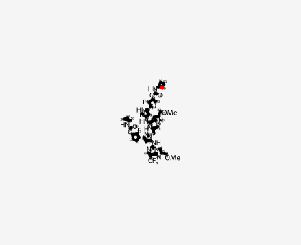 COCc1cn2c(Nc3cc([C@@H]4CC[C@H](OC(=O)NC5(C)CC5)[C@@H]4F)[nH][n+]3Cc3cn4nc(COC)cc4c(Nc4cc([C@H]5OC[C@@H](OC(=O)NC67CC(C6)C7)[C@H]5F)[nH]n4)n3)ncc(C(F)(F)F)c2n1